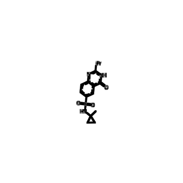 CC(C)c1nc2ccc(S(=O)(=O)NC3(C)CC3)cc2c(=O)[nH]1